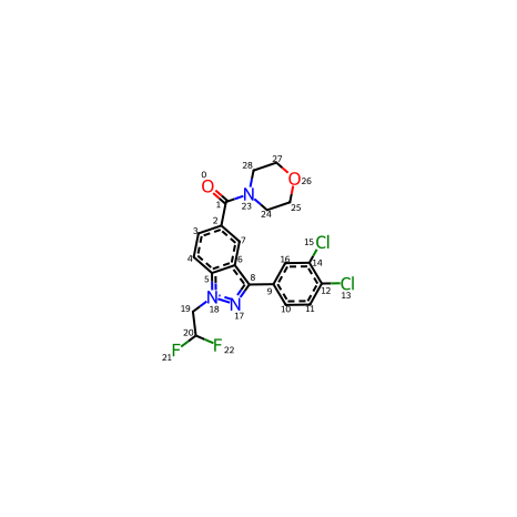 O=C(c1ccc2c(c1)c(-c1ccc(Cl)c(Cl)c1)nn2CC(F)F)N1CCOCC1